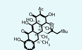 CC(=O)C1=C(O)C(C(C)C)[C@@]2(C)[C@H](CC(=O)CC(C)(C)C)[C@]3(C)C(=C(O)[C@@]2(O)C1=O)C(=O)c1c(O)cccc1[C@H]3C